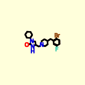 O=C1NC(CN2CCC(Cc3cc(F)ccc3Br)CC2)CN1C1CCCCC1